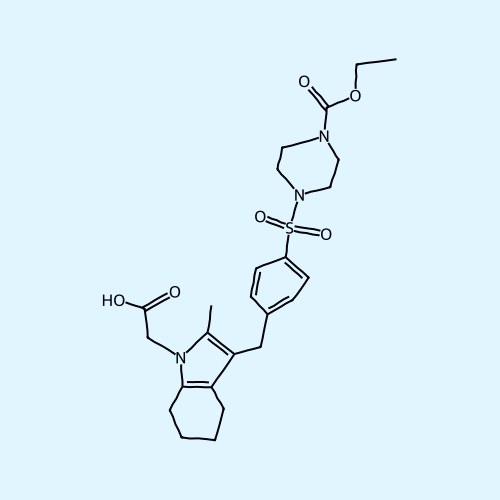 CCOC(=O)N1CCN(S(=O)(=O)c2ccc(Cc3c4c(n(CC(=O)O)c3C)CCCC4)cc2)CC1